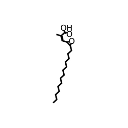 CCCCCCCCCCCCCCC1OC1C=C(C)C(=O)O